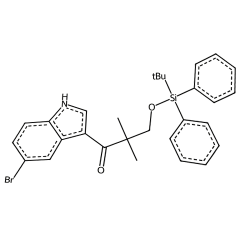 CC(C)(CO[Si](c1ccccc1)(c1ccccc1)C(C)(C)C)C(=O)c1c[nH]c2ccc(Br)cc12